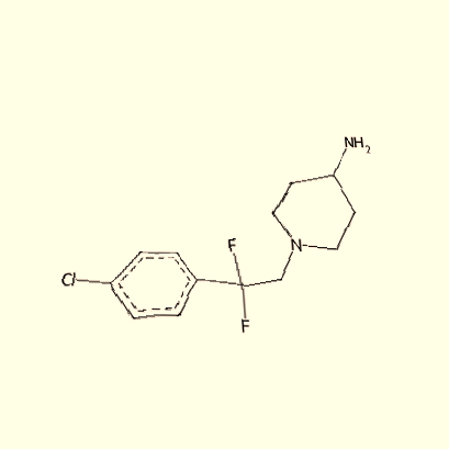 NC1CCN(CC(F)(F)c2ccc(Cl)cc2)CC1